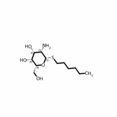 CCCCCCS[C@@H]1O[C@H](CO)[C@H](O)[C@H](O)[C@@H]1N